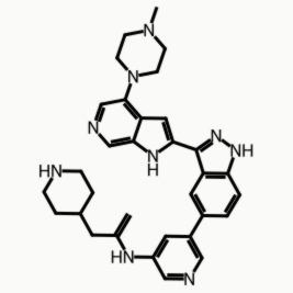 C=C(CC1CCNCC1)Nc1cncc(-c2ccc3[nH]nc(-c4cc5c(N6CCN(C)CC6)cncc5[nH]4)c3c2)c1